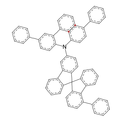 c1ccc(-c2ccc(N(c3ccc4c(c3)-c3ccccc3C43c4ccccc4-c4c(-c5ccccc5)cccc43)c3ccc(-c4ccccc4)cc3-c3ccccc3)cc2)cc1